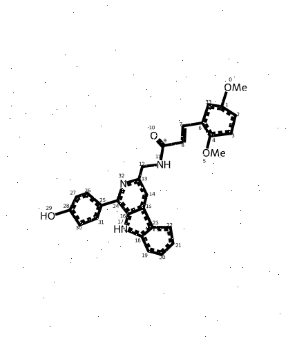 COc1ccc(OC)c(/C=C/C(=O)NCc2cc3c([nH]c4ccccc43)c(-c3ccc(O)cc3)n2)c1